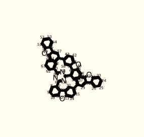 c1ccc(-c2nc(-c3cccc4oc5ccc(-c6ccc7oc8ccccc8c7c6)cc5c34)nc(-c3cccc4oc5ccc(-c6ccc7oc8ccccc8c7c6)cc5c34)n2)cc1